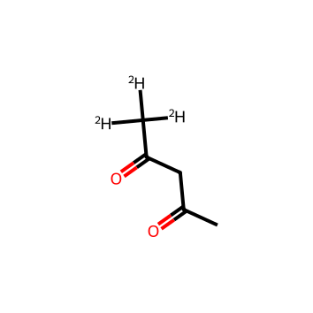 [2H]C([2H])([2H])C(=O)CC(C)=O